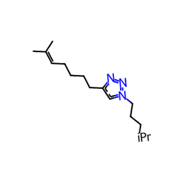 CC(C)=CCCCCc1cn(CCCC(C)C)nn1